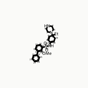 CCC1(N2CCNCC2)C=CC(NS(=O)(=O)c2cccc(-c3ccccc3)c2OC)=CC1